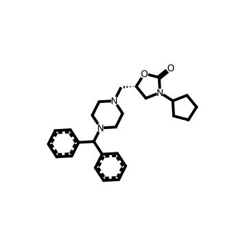 O=C1O[C@@H](CN2CCN(C(c3ccccc3)c3ccccc3)CC2)CN1C1CCCC1